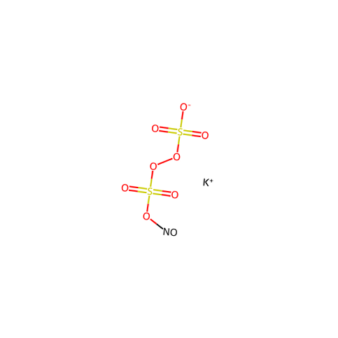 O=NOS(=O)(=O)OOS(=O)(=O)[O-].[K+]